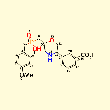 COc1ccc(CP(=O)(O)CC2CNC(c3cccc(C(=O)O)c3)CO2)cc1